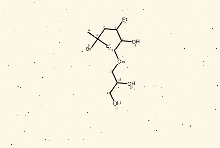 CCC(CC(C)(Br)CC)C(O)COCC(O)CO